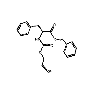 C=CCOC(=O)N[C@@H](Cc1ccccc1)C(=O)OCc1ccccc1